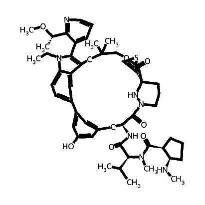 CCn1c(-c2cccnc2[C@H](C)OC)c2c3cc(ccc31)-c1cc(O)cc(c1)C[C@H](NC(=O)[C@H](C(C)C)N(C)C(=O)[C@H]1CCC[C@H]1NC)C(=O)N1CCC[C@@](C3=CS3)(N1)C(=O)OCC(C)(C)C2